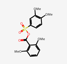 COc1ccc(S(=O)(=O)OC(=O)c2c(OC)cccc2OC)cc1OC